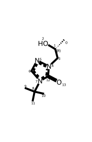 C[C@@H](O)Cn1ncn(C(C)(C)C)c1=O